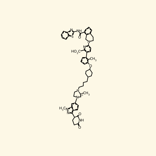 Cc1c(OC2CCC(CCCCN3CCN(c4ccc5c(C6CCC(=O)NC6=O)nn(C)c5c4)C[C@@H]3C)CC2)cccc1-c1ccc(N2CCc3cccc(C(=O)Nc4nc5ccccc5s4)c3C2)nc1C(=O)O